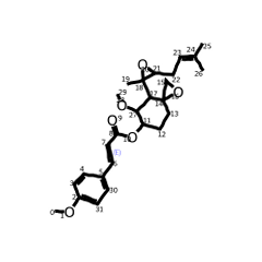 COc1ccc(/C=C/C(=O)OC2CCC3(CO3)C(C3(C)OC3CC=C(C)C)C2OC)cc1